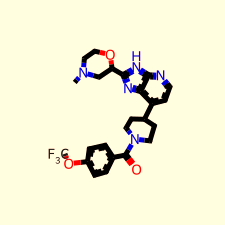 CN1CCOC(c2nc3c(C4CCN(C(=O)c5ccc(OC(F)(F)F)cc5)CC4)ccnc3[nH]2)C1